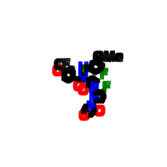 COc1cc(F)c([C@@H]2CN(c3nc(N4CCOCC4=O)ccc3F)C(=O)[C@H]2NC(=O)c2ccc(OC(F)(F)F)cc2)c(F)c1